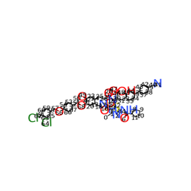 Cc1nc(NC(=O)C2CCCC2)sc1S(=O)(=O)N1Cc2cc3c(cc2CC1C(=O)NC(Cc1ccc(-c2ccc(C#N)cc2)cc1)C(=O)O)OCC(c1ccc(OCc2ccc(Cl)c(Cl)c2)cc1)O3